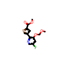 COCOc1cc(F)cnc1-c1csc(C(=O)OC)c1